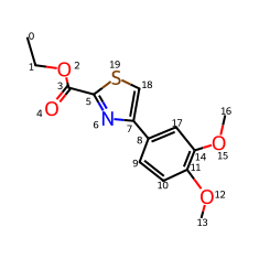 CCOC(=O)c1nc(-c2ccc(OC)c(OC)c2)cs1